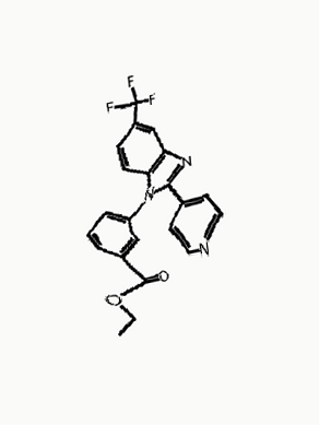 CCOC(=O)c1cccc(-n2c(-c3ccncc3)nc3cc(C(F)(F)F)ccc32)c1